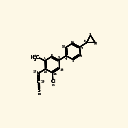 Cc1cc(-c2ccc(C3CC3)cc2)cc(Cl)c1N=C=S